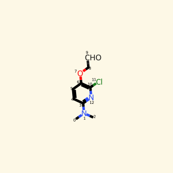 CN(C)c1ccc(OCC=O)c(Cl)n1